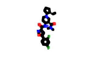 CC[C@H]1CCC[C@@H]1N1CC[C@H](NC(=O)c2cc(-c3ccc(F)cc3F)on2)[C@@H](C(=O)N(C)C)C1